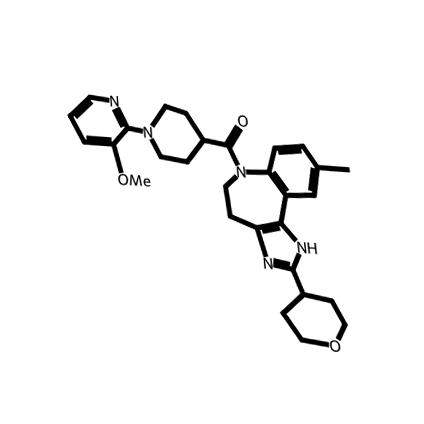 COc1cccnc1N1CCC(C(=O)N2CCc3nc(C4CCOCC4)[nH]c3-c3cc(C)ccc32)CC1